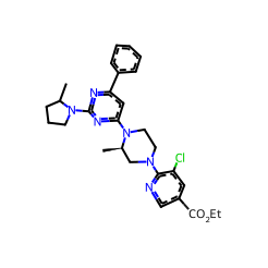 CCOC(=O)c1cnc(N2CCN(c3cc(-c4ccccc4)nc(N4CCCC4C)n3)[C@H](C)C2)c(Cl)c1